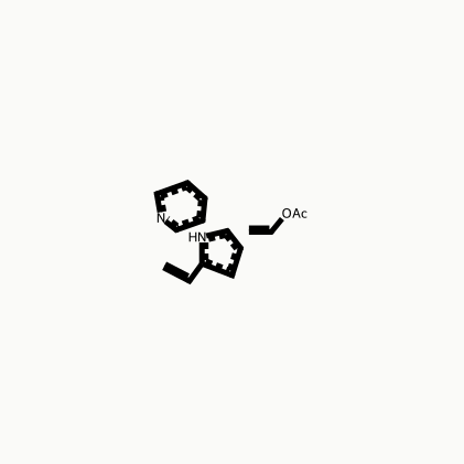 C=COC(C)=O.C=Cc1ccc[nH]1.c1ccncc1